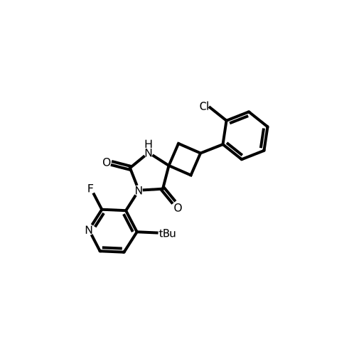 CC(C)(C)c1ccnc(F)c1N1C(=O)NC2(CC(c3ccccc3Cl)C2)C1=O